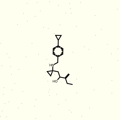 C=C(CC)C(O)CC1(NCc2ccc(C3CC3)cc2)CC1